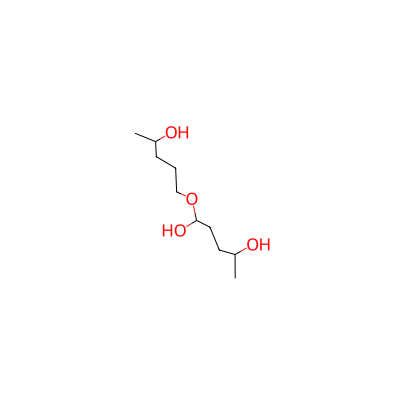 CC(O)CCCOC(O)CCC(C)O